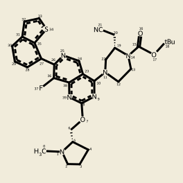 CN1CCC[C@H]1COc1nc(N2CCN(C(=O)OC(C)(C)C)[C@@H](CC#N)C2)c2cnc(-c3cccc4ccsc34)c(F)c2n1